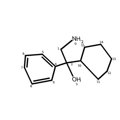 NCC(O)(c1ccccc1)C1CCCCC1